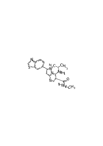 CNC(=O)c1cnc2cc(-c3ccc4ncsc4c3)nn2c1NC(C)C